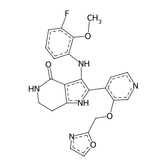 COc1c(F)cccc1Nc1c(-c2ccncc2OCc2ncco2)[nH]c2c1C(=O)NCC2